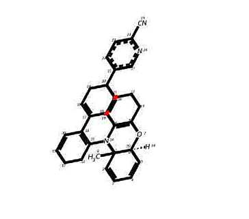 CC12C=CC=C[C@@H]1OC1=C(C=CCC1)N2C1=C(C2=CCC(c3ccc(C#N)nc3)CC2)C=CCC1